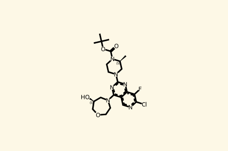 C[C@H]1CN(c2nc(N3CCOC[C@@H](O)C3)c3cnc(Cl)c(F)c3n2)CCN1C(=O)OC(C)(C)C